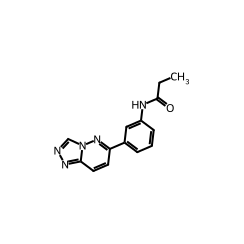 CCC(=O)Nc1cccc(-c2ccc3nncn3n2)c1